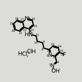 Cl.Cl.ON=Cc1nc(CCCCNc2ccnc3ccccc23)ccc1F